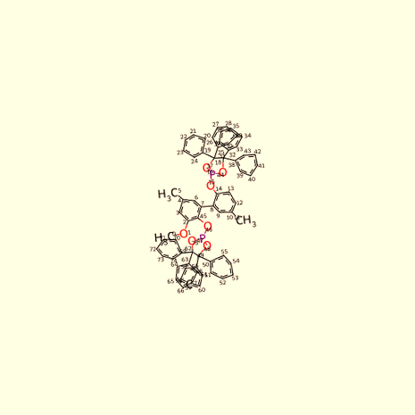 COc1cc(C)cc(-c2cc(C)ccc2OP2OC(c3ccccc3)(c3ccccc3)C(c3ccccc3)(c3ccccc3)O2)c1OP1OC(c2ccccc2)(c2ccccc2)C(c2ccccc2)(c2ccccc2)O1